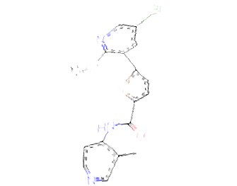 COc1ncc(Br)cc1-c1ccc(C(=O)Nc2ccncc2C)s1